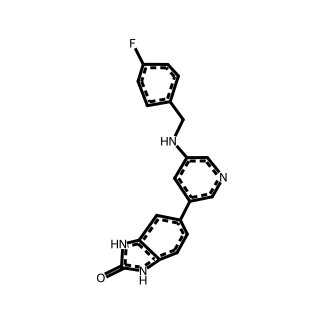 O=c1[nH]c2ccc(-c3cncc(NCc4ccc(F)cc4)c3)cc2[nH]1